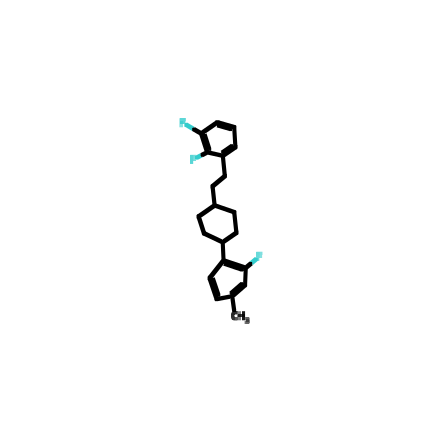 Cc1ccc(C2CCC(CCc3cccc(F)c3F)CC2)c(F)c1